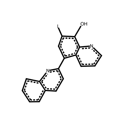 Oc1c(I)cc(-c2ccc3ccccc3n2)c2cccnc12